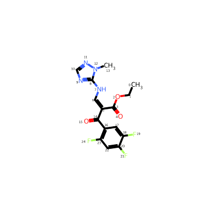 CCOC(=O)/C(=C\Nc1ncnn1C)C(=O)c1cc(F)c(F)cc1F